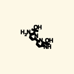 CC(C)(O)c1nc(-c2ccc3c(n2)C(C)(O)N3)ccc1N